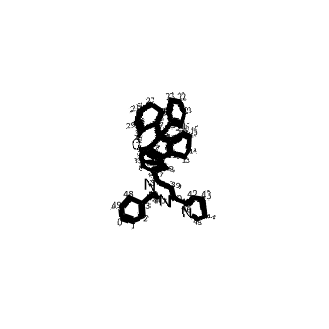 c1ccc(-c2nc(-c3cccc(-c4ccccc4C4(c5ccccc5)c5ccccc5Oc5ccccc54)c3)cc(-c3ccccn3)n2)cc1